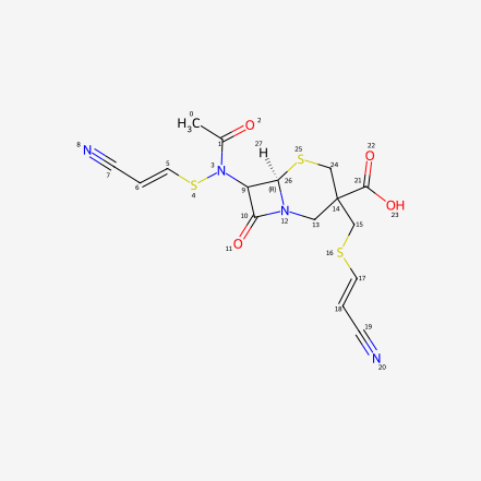 CC(=O)N(SC=CC#N)C1C(=O)N2CC(CSC=CC#N)(C(=O)O)CS[C@H]12